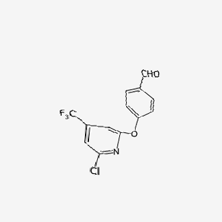 O=Cc1ccc(Oc2cc(C(F)(F)F)cc(Cl)n2)cc1